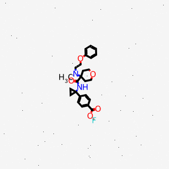 CN(CCOc1ccccc1)C1(C(=O)NC2(c3ccc(C(=O)OF)cc3)CC2)CCOCC1